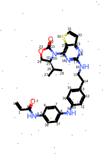 C=CC(=O)Nc1ccc(Nc2ccc(CCNc3nc(N4C(=O)OC[C@@H]4C(C)C)c4sccc4n3)cc2)cc1